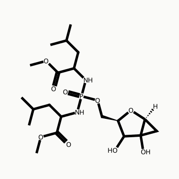 COC(=O)C(CC(C)C)NP(=O)(NC(CC(C)C)C(=O)OC)OC[C@H]1O[C@H]2CC2(O)C1O